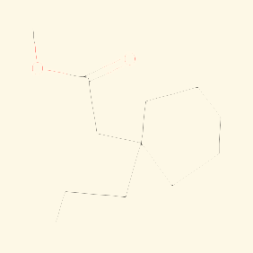 CCCC1(CC(=O)OC)CCCCC1